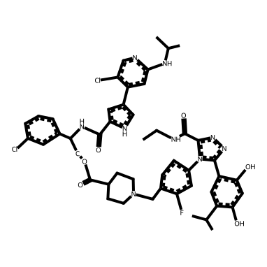 CCNC(=O)c1nnc(-c2cc(C(C)C)c(O)cc2O)n1-c1ccc(CN2CCC(C(=O)OCC(NC(=O)c3cc(-c4cc(NC(C)C)ncc4Cl)c[nH]3)c3cccc(Cl)c3)CC2)c(F)c1